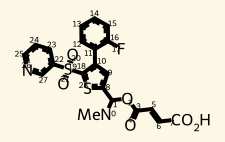 CNC(OC(=O)/C=C/C(=O)O)c1cc(-c2ccccc2F)c(S(=O)(=O)c2cccnc2)s1